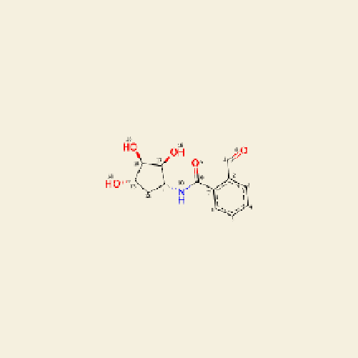 O=Cc1ccccc1C(=O)N[C@@H]1C[C@H](O)[C@@H](O)[C@H]1O